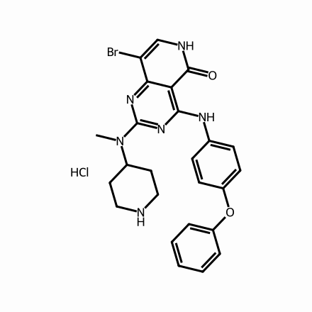 CN(c1nc(Nc2ccc(Oc3ccccc3)cc2)c2c(=O)[nH]cc(Br)c2n1)C1CCNCC1.Cl